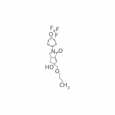 CCCCOCC1(O)C=C2C(=O)N(c3ccc(OC(F)(F)F)cc3)CC2C1